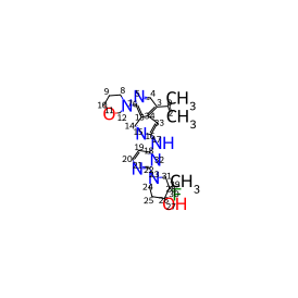 CC(C)c1cnc(N2CCCOC2)c2cnc(Nc3ccnc(N4CC[C@@H](O)[C@@](C)(F)C4)n3)cc12